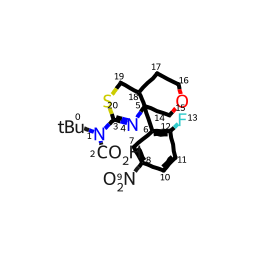 CC(C)(C)N(C(=O)O)C1=NC2(c3cc([N+](=O)[O-])ccc3F)COCCC2CS1